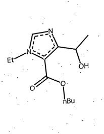 CCCCOC(=O)c1c(C(C)O)ncn1CC